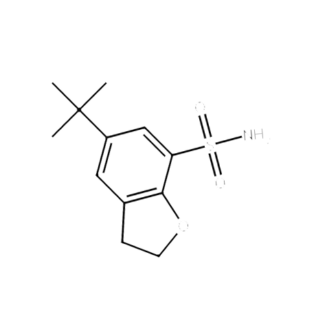 CC(C)(C)c1cc2c(c(S(N)(=O)=O)c1)OCC2